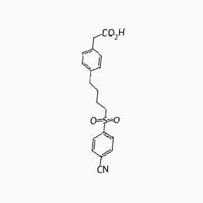 N#Cc1ccc(S(=O)(=O)CCCCc2ccc(CC(=O)O)cc2)cc1